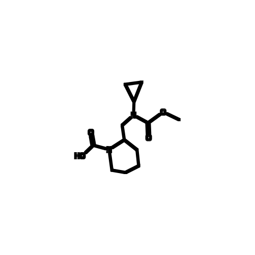 COC(=O)N(CC1CCCCN1C(=O)O)C1CC1